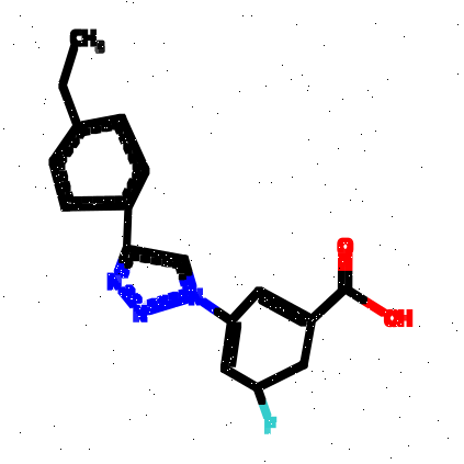 CCc1ccc(-c2cn(C3=CC(F)CC(C(=O)O)=C3)nn2)cc1